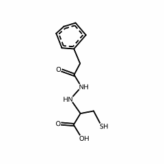 O=C(Cc1ccccc1)NNC(CS)C(=O)O